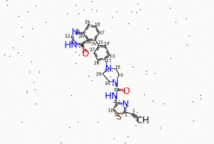 C#Cc1nc(NC(=O)N2CCN(c3ccc(-c4cccc5nc[nH]c(=O)c45)cc3)CC2)cs1